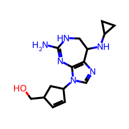 NC1=Nc2c(ncn2C2C=CC(CO)C2)C(NC2CC2)CN1